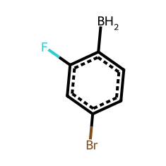 Bc1ccc(Br)cc1F